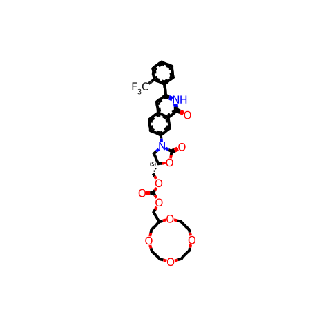 O=C(OCC1COCCOCCOCCO1)OC[C@@H]1CN(c2ccc3cc(-c4ccccc4C(F)(F)F)[nH]c(=O)c3c2)C(=O)O1